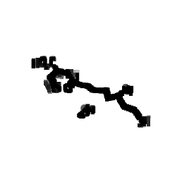 O=C(CCCCC(S)CCS)N[C@@H](CS)C(=O)O.[Zn]